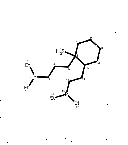 CCP(CC)CCCC1(P)CCCCC1CCP(CC)CC